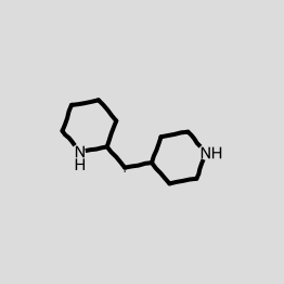 [CH](C1CCNCC1)C1CCCCN1